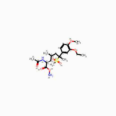 CCOc1cc(C(C)(CC(C)C[C@H](NC(C)=O)C(=O)ON)S(C)(=O)=O)ccc1OC